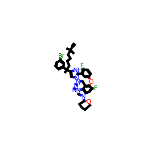 C#CC(C)(C)CCCCC(C)(c1cccc(Br)c1)c1cnc(-c2cc(Oc3c(F)cc4c(ncn4C4CCCCO4)c3CN=[N+]=[N-])ccc2F)[nH]1